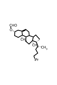 CC(C)CCC[C@@H](C)[C@H]1CCC2C3CC=C4C[C@@H](OC=O)CC[C@]4(C)C3CC[C@@]21C